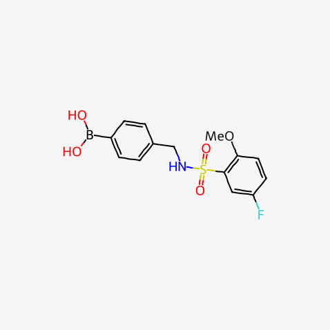 COc1ccc(F)cc1S(=O)(=O)NCc1ccc(B(O)O)cc1